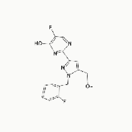 COCc1cc(-c2ncc(F)c(O)n2)nn1Cc1ccccc1F